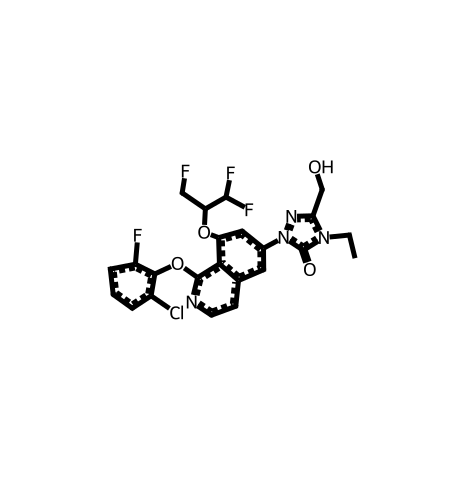 CCn1c(CO)nn(-c2cc(OC(CF)C(F)F)c3c(Oc4c(F)cccc4Cl)nccc3c2)c1=O